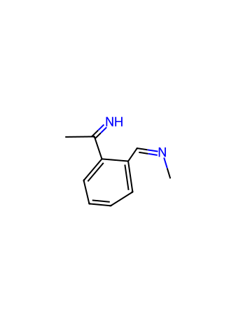 C/N=C\c1ccccc1C(C)=N